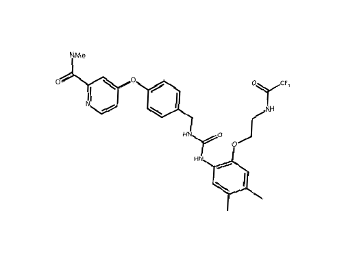 CNC(=O)c1cc(Oc2ccc(CNC(=O)Nc3cc(C)c(C)cc3OCCNC(=O)C(F)(F)F)cc2)ccn1